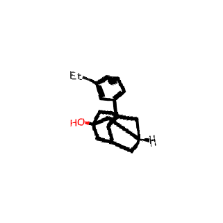 CCc1cccc(C23CC4C[C@H](CC(O)(C4)C2)C3)c1